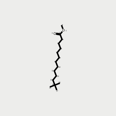 COC(=O)CCCCCCCCCCC(C)(C)C